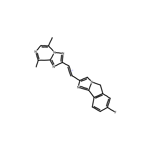 Cc1ncc(C)n2nc(/C=C/c3cn4c(n3)-c3ccc(F)cc3C4)nc12